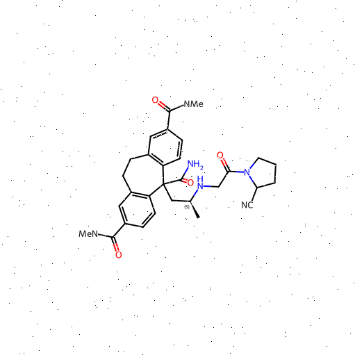 CNC(=O)c1ccc2c(c1)CCc1cc(C(=O)NC)ccc1C2(C[C@H](C)NCC(=O)N1CCCC1C#N)C(N)=O